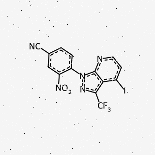 N#Cc1ccc(-n2nc(C(F)(F)F)c3c(I)ccnc32)c([N+](=O)[O-])c1